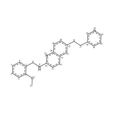 COc1ccccc1CNc1ccc2cc(CCc3cccnc3)ccc2n1